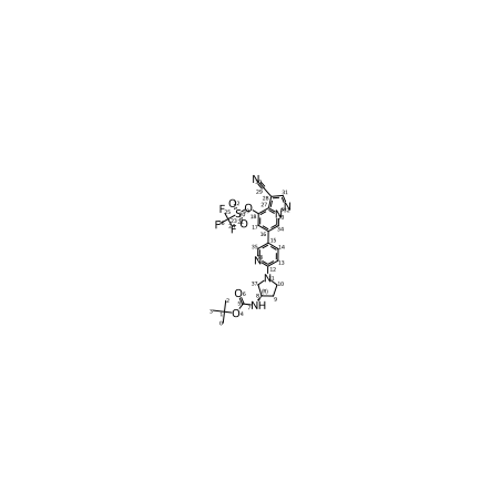 CC(C)(C)OC(=O)N[C@@H]1CCN(c2ccc(-c3cc(OS(=O)(=O)C(F)(F)F)c4c(C#N)cnn4c3)cn2)C1